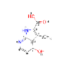 Cc1c(C(=O)O)[nH]c2nccc(O)c12